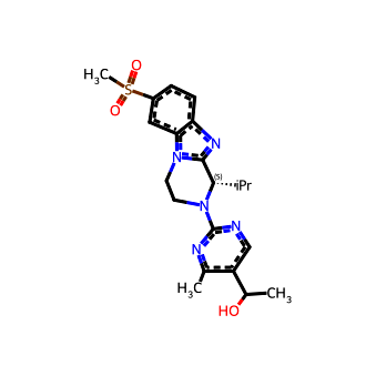 Cc1nc(N2CCn3c(nc4ccc(S(C)(=O)=O)cc43)[C@@H]2C(C)C)ncc1C(C)O